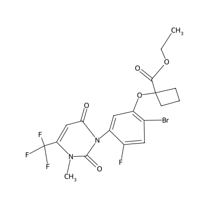 CCOC(=O)C1(Oc2cc(-n3c(=O)cc(C(F)(F)F)n(C)c3=O)c(F)cc2Br)CCC1